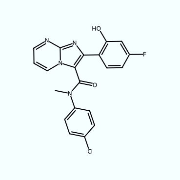 CN(C(=O)c1c(-c2ccc(F)cc2O)nc2ncccn12)c1ccc(Cl)cc1